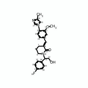 COc1cc(/C=C2\CCCN(C(CO)c3ccc(F)cc3)C2=O)ccc1-n1cnc(C)c1